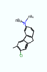 CCCCN(CCCC)c1ccc2c(c1)-c1cc(C)c(Cl)cc1C2